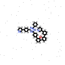 c1ccc(-c2nc(-c3ccc(-c4cccnc4)cc3)nc(-c3ccc(-c4cccc5c4oc4c(-c6cccc(-c7cccnc7)c6)cccc45)cc3)n2)cc1